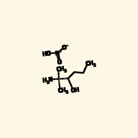 CCCC(O)C(C)(C)N.O=[N+]([O-])O